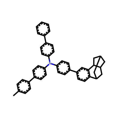 Cc1ccc(-c2ccc(N(c3ccc(-c4ccccc4)cc3)c3ccc(-c4ccc5c(c4)C4CC6CC5CC4C6)cc3)cc2)cc1